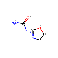 C1=NCCO1.NC(N)=O